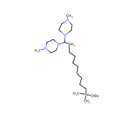 CO[Si](C)(C)CCCCCCCC[SiH2]C(N1CCN(C)CC1)N1CCN(C)CC1